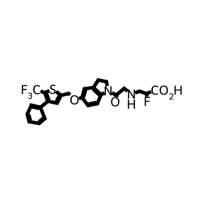 O=C(O)C(F)CNCC(=O)N1CCc2cc(OCc3cc(-c4ccccc4)c(C(F)(F)F)s3)ccc21